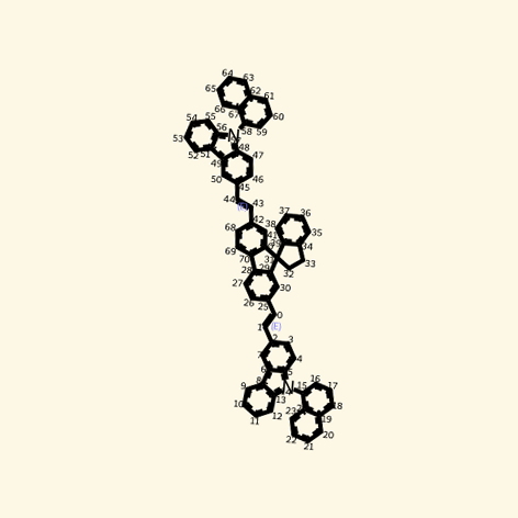 C(=C\c1ccc2c(c1)c1ccccc1n2-c1cccc2ccccc12)/c1ccc2c(c1)C1(CCc3ccccc31)c1cc(/C=C/c3ccc4c(c3)c3ccccc3n4-c3cccc4ccccc34)ccc1-2